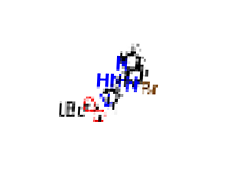 CC(C)(C)OC(=O)N1CC[C@H](Nc2nc(Br)cc3cccnc23)C1